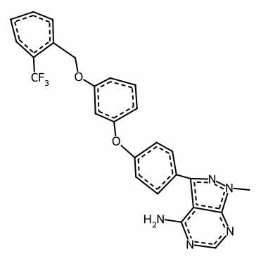 Cn1nc(-c2ccc(Oc3cccc(OCc4ccccc4C(F)(F)F)c3)cc2)c2c(N)ncnc21